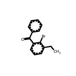 CCc1cccc(C(=O)c2ccccc2)c1Br